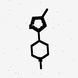 Cc1csc(C2CCN(C)CC2)c1